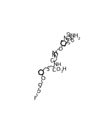 NS(=O)(=O)c1nc2ccc(OCc3cn(CC(=O)NC(CSCc4cccc(OCCOCCOCCF)c4)C(=O)O)nn3)cc2s1